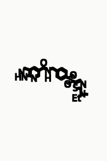 CCN(C)c1ncc(S(=O)(=O)c2ccc(CNC(=O)c3cnc4[nH]ncc4c3)cc2)s1